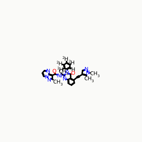 [2H]c1c([2H])c([2H])c(-n2c([C@H](C)NC(=O)c3c(C)nn4cccnc34)nc3cccc(C#Cc4cnn(C)c4C)c3c2=O)c([2H])c1[2H]